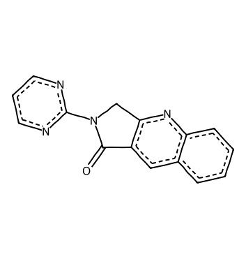 O=C1c2cc3ccccc3nc2CN1c1ncccn1